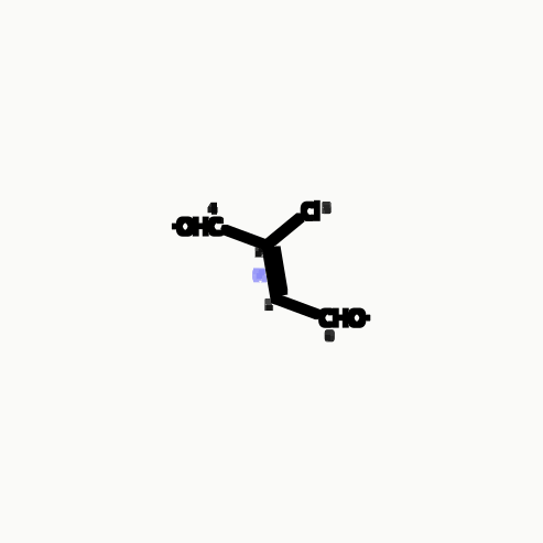 O=[C]/C=C(\Cl)[C]=O